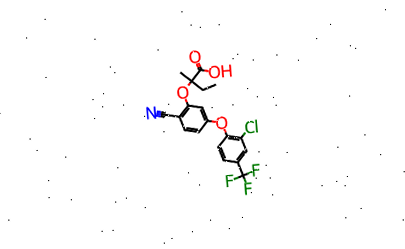 CCC(C)(Oc1cc(Oc2ccc(C(F)(F)F)cc2Cl)ccc1C#N)C(=O)O